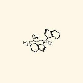 C[CH2][Zr]([CH2]CC(C)O)([CH]1C=CC2=C1CCCC2)[CH]1C=CC2=C1CCCC2